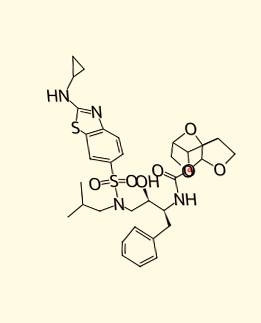 CC(C)CN(C[C@@H](O)[C@H](Cc1ccccc1)NC(=O)OC1C2COC3OCC1C3O2)S(=O)(=O)c1ccc2nc(NC3CC3)sc2c1